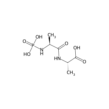 C[C@H](NC(=O)[C@H](C)NP(=O)(O)O)C(=O)O